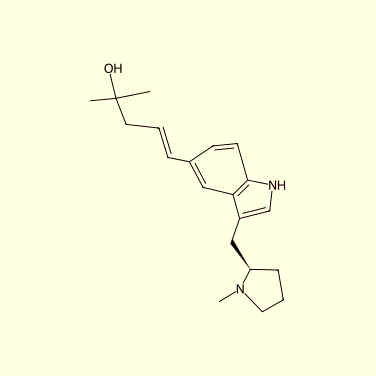 CN1CCC[C@@H]1Cc1c[nH]c2ccc(C=CCC(C)(C)O)cc12